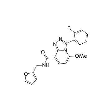 COc1ccc(C(=O)NCc2ccco2)c2nnc(-c3ccccc3F)n12